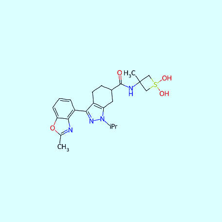 Cc1nc2c(-c3nn(C(C)C)c4c3CCC(C(=O)NC3(C)CS(O)(O)C3)C4)cccc2o1